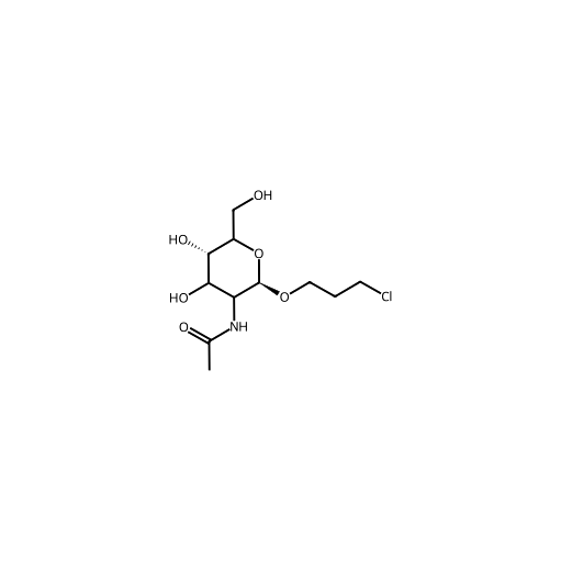 CC(=O)NC1C(O)[C@H](O)C(CO)O[C@H]1OCCCCl